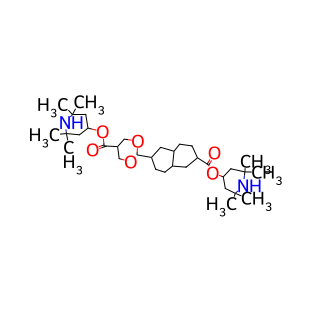 CC1(C)CC(OC(=O)C2COC(C3CCC4CC(C(=O)OC5CC(C)(C)NC(C)(C)C5)CCC4C3)OC2)CC(C)(C)N1